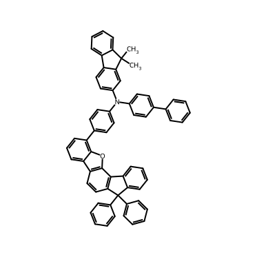 CC1(C)c2ccccc2-c2ccc(N(c3ccc(-c4ccccc4)cc3)c3ccc(-c4cccc5c4oc4c6c(ccc45)C(c4ccccc4)(c4ccccc4)c4ccccc4-6)cc3)cc21